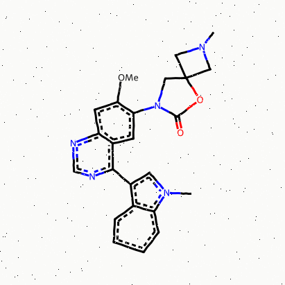 COc1cc2ncnc(-c3cn(C)c4ccccc34)c2cc1N1CC2(CN(C)C2)OC1=O